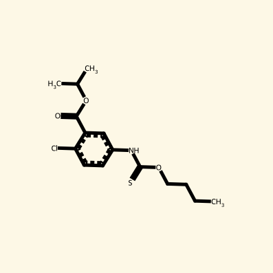 CCCCOC(=S)Nc1ccc(Cl)c(C(=O)OC(C)C)c1